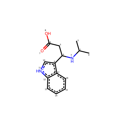 CC(C)NC(CC(=O)O)c1c[nH]c2ccccc12